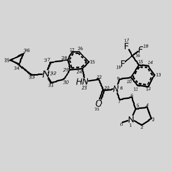 CN1CCCC1CCN(Cc1ccccc1C(F)(F)F)C(=O)CNc1cccc2c1CCN(CC1CC1)C2